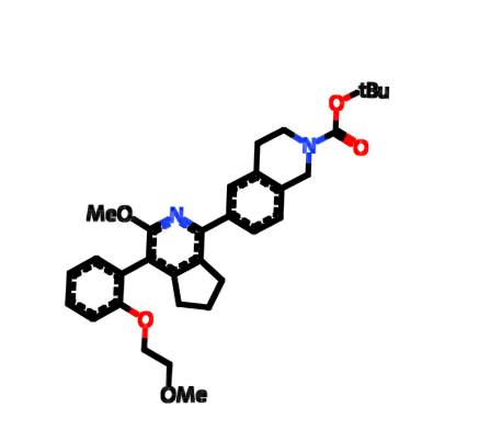 COCCOc1ccccc1-c1c(OC)nc(-c2ccc3c(c2)CCN(C(=O)OC(C)(C)C)C3)c2c1CCC2